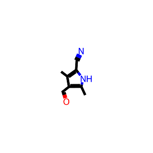 Cc1[nH]c(C#N)c(C)c1C=O